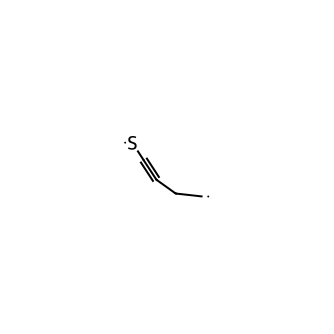 [CH2]CC#C[S]